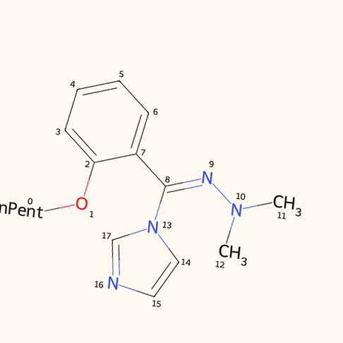 CCCCCOc1ccccc1C(=NN(C)C)n1ccnc1